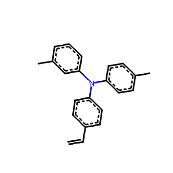 C=Cc1ccc(N(c2ccc(C)cc2)c2cccc(C)c2)cc1